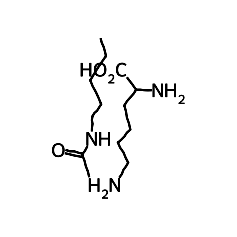 CCCCCNC(C)=O.NCCCCC(N)C(=O)O